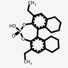 CCc1cc2c(c3c1OP(=O)(O)Oc1c(CC)cc4c(c1-3)CCCC4)CCCC2